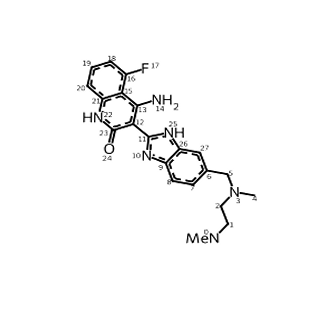 CNCCN(C)Cc1ccc2nc(-c3c(N)c4c(F)cccc4[nH]c3=O)[nH]c2c1